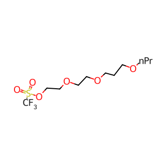 CCCOCCCOCCOCCOS(=O)(=O)C(F)(F)F